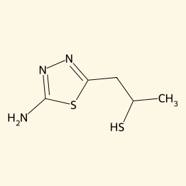 CC(S)Cc1nnc(N)s1